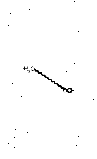 [CH2]CCCCCCCCCCCCCCCCCCCOC1CC[CH]CC1